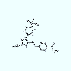 COC(=O)c1ccc(/C=C/c2nc(NC(C)=O)sc2-c2ccc(S(C)(=O)=O)cc2)cc1